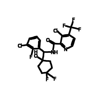 O=C(NC(c1cccc(Cl)c1F)C1(O)CCC(F)(F)CC1)c1nccc(C(F)(F)F)c1Cl